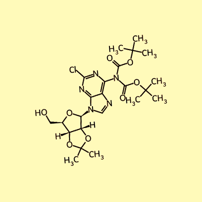 CC(C)(C)OC(=O)N(C(=O)OC(C)(C)C)c1nc(Cl)nc2c1ncn2[C@@H]1O[C@H](CO)[C@H]2OC(C)(C)O[C@H]21